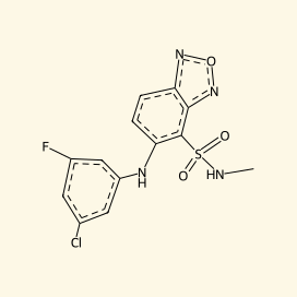 CNS(=O)(=O)c1c(Nc2cc(F)cc(Cl)c2)ccc2nonc12